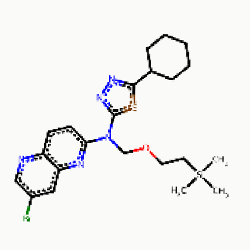 C[Si](C)(C)CCOCN(c1ccc2ncc(Br)cc2n1)c1nnc(C2CCCCC2)s1